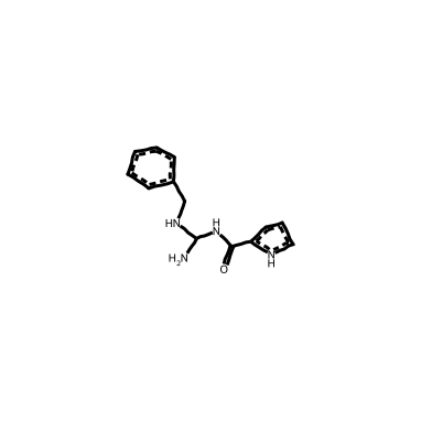 NC(NCc1ccccc1)NC(=O)c1ccc[nH]1